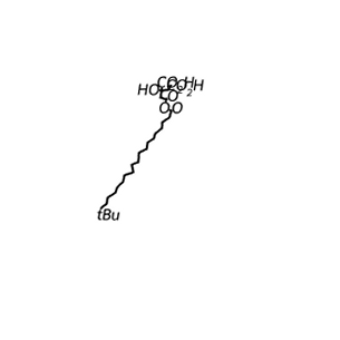 CC(C)(C)CCCCCCCCCCCCCCCCCCC(=O)OC(=O)CC(O)(CC(=O)O)C(=O)O